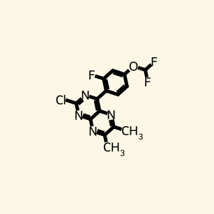 Cc1nc2nc(Cl)nc(-c3ccc(OC(F)F)cc3F)c2nc1C